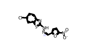 O=[N+]([O-])c1ccc(/C=N\Nc2nc3ccc(Cl)cc3s2)o1